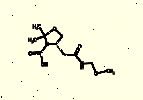 COCNC(=O)C[C@H]1COC(C)(C)N1C(=O)O